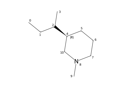 CCC(C)[C@H]1CCCN(C)C1